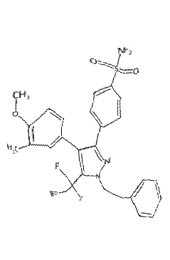 COc1ccc(-c2c(-c3ccc(S(N)(=O)=O)cc3)nn(Cc3ccccc3)c2C(F)(F)F)cc1C